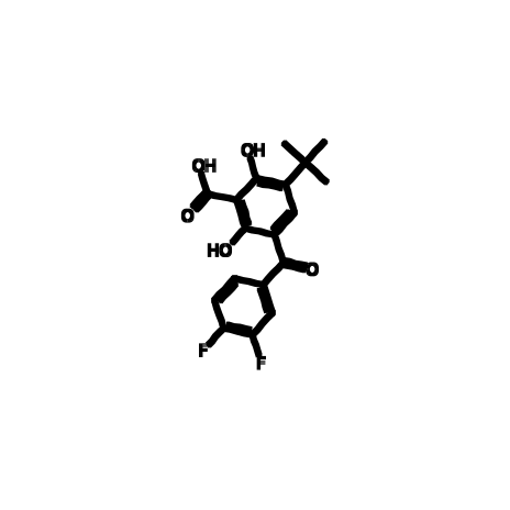 CC(C)(C)c1cc(C(=O)c2ccc(F)c(F)c2)c(O)c(C(=O)O)c1O